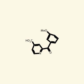 COc1cccc(C(=O)c2cc(C(=O)O)ccn2)c1